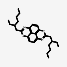 CCCCC(CC)CC1=Nc2ccc3c4c(ccc(c24)O1)N=C(CC(CC)CCCC)O3